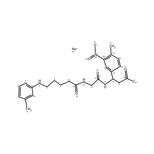 Cc1ccnc(NCCCCC(=O)NCC(=O)NC(CC(=O)[O-])c2ccc(C)c([N+](=O)[O-])c2)c1.[Na+]